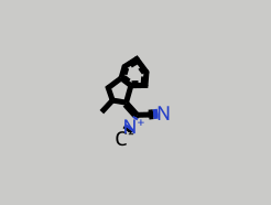 [C-]#[N+]/C(C#N)=C1/c2ccccc2CC1C